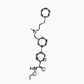 CCONC(=O)c1ccc(-c2cccc(CN(C)CCCc3ccccc3)c2)cn1